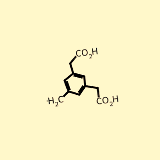 [CH2]c1cc(CC(=O)O)cc(CC(=O)O)c1